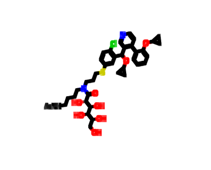 CC(=O)NCCCCN(CCCSc1ccc(Cl)c(C(OC2CC2)c2cnccc2-c2ccccc2OC2CC2)c1)C(=O)[C@@H](O)[C@@H](O)[C@H](O)[C@@H](O)CO